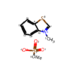 COS(=O)(=O)[O-].C[n+]1csc2ccccc21